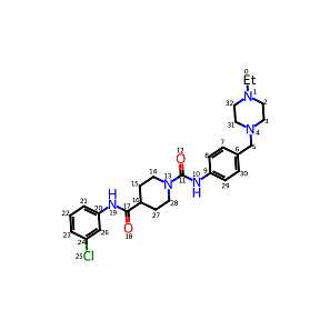 CCN1CCN(Cc2ccc(NC(=O)N3CCC(C(=O)Nc4cccc(Cl)c4)CC3)cc2)CC1